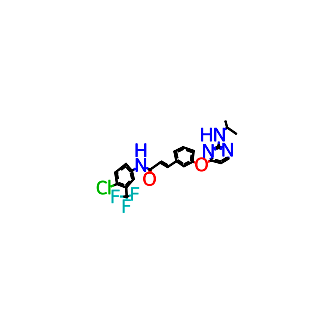 CC(C)Nc1nccc(Oc2cccc(C=CC(=O)Nc3ccc(Cl)c(C(F)(F)F)c3)c2)n1